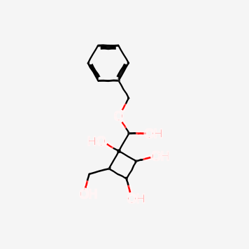 OCC1C(O)C(O)C1(O)C(O)OCc1ccccc1